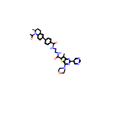 CC(=O)N1c2ccc(-c3ccc(C(=O)NCCNC(=O)c4sc5c(N6CCOCC6)nc(-c6cncnc6)nc5c4C)cc3)cc2CC[C@@H]1C